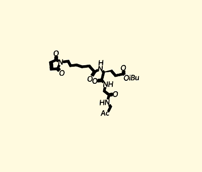 CC(=O)CNC(=O)CNC(=O)[C@H](CCC(=O)OCC(C)C)NC(=O)CCCCCN1C(=O)C=CC1=O